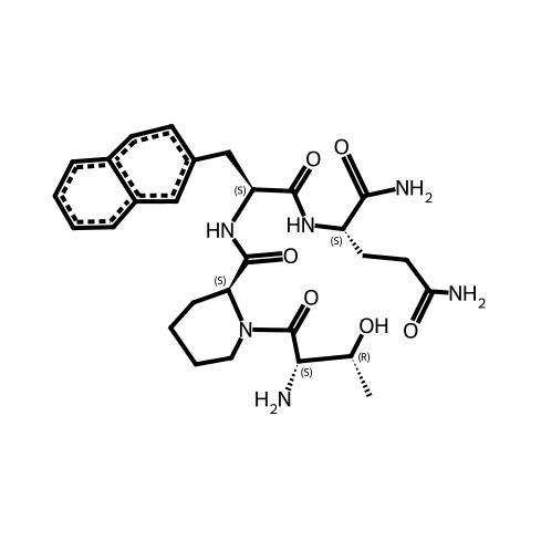 C[C@@H](O)[C@H](N)C(=O)N1CCCC[C@H]1C(=O)N[C@@H](Cc1ccc2ccccc2c1)C(=O)N[C@@H](CCC(N)=O)C(N)=O